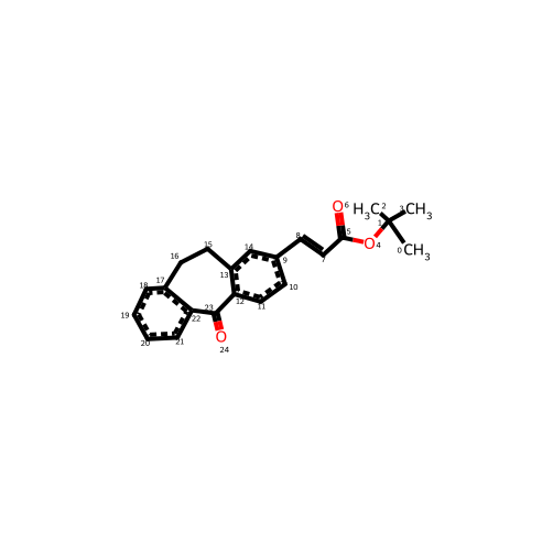 CC(C)(C)OC(=O)C=Cc1ccc2c(c1)CCc1ccccc1C2=O